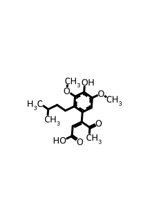 COc1cc(C(=CC(=O)O)C(C)=O)c(CCC(C)C)c(OC)c1O